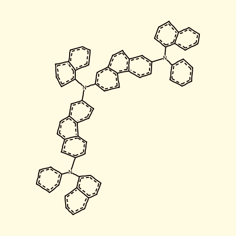 c1ccc(N(c2ccc3c(ccc4cc(N(c5ccc6c(ccc7cc(N(c8ccccc8)c8cccc9ccccc89)ccc76)c5)c5cccc6ccccc56)ccc43)c2)c2cccc3ccccc23)cc1